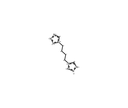 c1nnnn1CCCCn1cnnn1